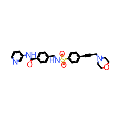 O=C(Nc1cccnc1)c1ccc(CNS(=O)(=O)c2ccc(C#CCN3CCOCC3)cc2)cc1